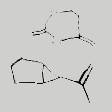 O=C(O)C1C2CCCC21.O=C1CNC(=O)N1